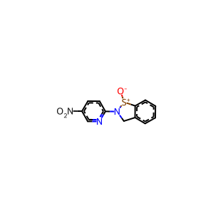 O=[N+]([O-])c1ccc(N2Cc3ccccc3[S+]2[O-])nc1